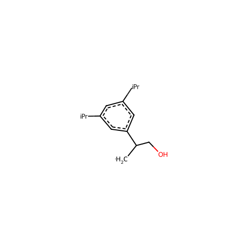 [CH2]C(CO)c1cc(C(C)C)cc(C(C)C)c1